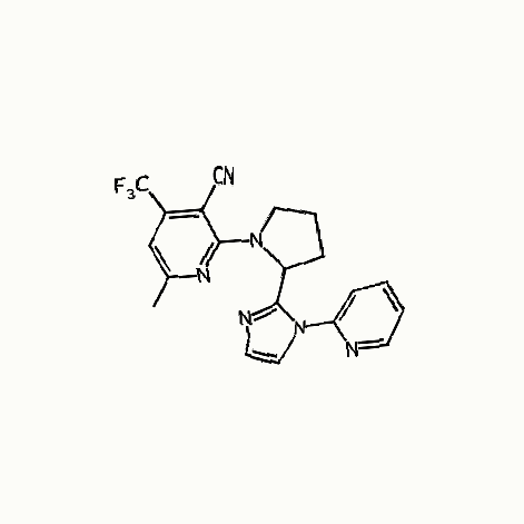 Cc1cc(C(F)(F)F)c(C#N)c(N2CCCC2c2nccn2-c2ccccn2)n1